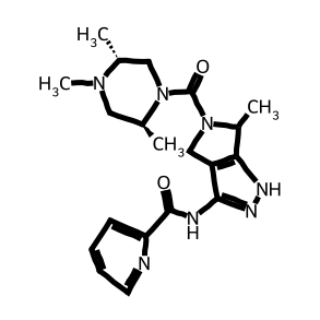 CC1c2[nH]nc(NC(=O)c3ccccn3)c2CN1C(=O)N1C[C@@H](C)N(C)C[C@@H]1C